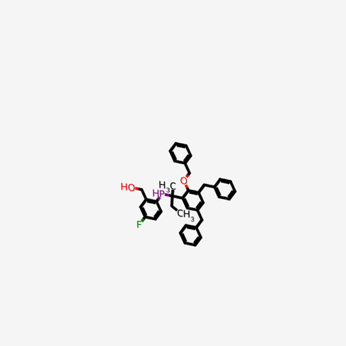 CCC(C)(Pc1ccc(F)cc1CO)c1cc(Cc2ccccc2)cc(Cc2ccccc2)c1OCc1ccccc1